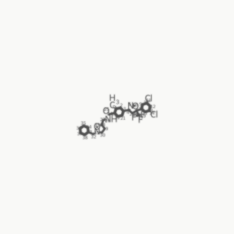 Cc1cc(C2=NOC(c3cc(Cl)cc(Cl)c3)(C(F)(F)F)C2)ccc1C(=O)NCC1CCN(Cc2ccccc2)O1